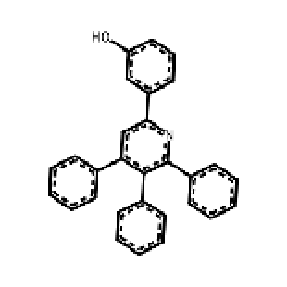 Oc1cccc(-c2cc(-c3ccccc3)c(-c3ccccc3)c(-c3ccccc3)n2)c1